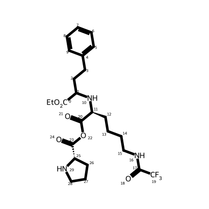 CCOC(=O)C(CCc1ccccc1)N[C@@H](CCCCNC(=O)C(F)(F)F)C(=O)OC(=O)[C@@H]1CCCN1